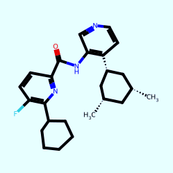 C[C@@H]1C[C@H](C)C[C@H](c2ccncc2NC(=O)c2ccc(F)c(C3CCCCC3)n2)C1